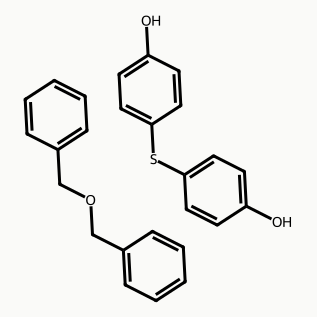 Oc1ccc(Sc2ccc(O)cc2)cc1.c1ccc(COCc2ccccc2)cc1